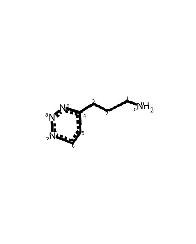 NCCCc1ccnnn1